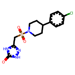 O=c1[nH]nc(CS(=O)(=O)N2CCC(c3ccc(Cl)cc3)CC2)[nH]1